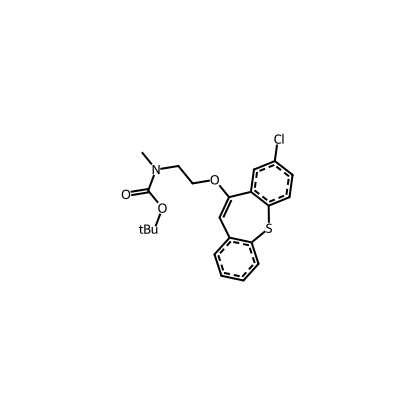 CN(CCOC1=Cc2ccccc2Sc2ccc(Cl)cc21)C(=O)OC(C)(C)C